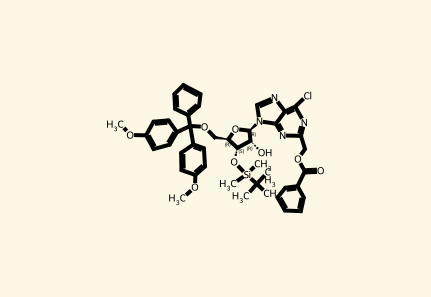 COc1ccc(C(OC[C@H]2O[C@@H](n3cnc4c(Cl)nc(COC(=O)c5ccccc5)nc43)[C@H](O)[C@@H]2O[Si](C)(C)C(C)(C)C)(c2ccccc2)c2ccc(OC)cc2)cc1